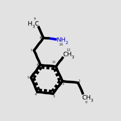 CCc1cccc(CC(C)N)c1C